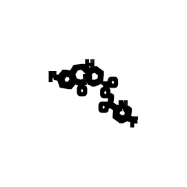 O=C(COC(=O)[C@H]1CC[C@@H]2CCc3cc(F)ccc3C(=O)N2C1)c1ccc(F)cn1